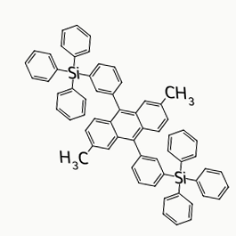 Cc1ccc2c(-c3cccc([Si](c4ccccc4)(c4ccccc4)c4ccccc4)c3)c3cc(C)ccc3c(-c3cccc([Si](c4ccccc4)(c4ccccc4)c4ccccc4)c3)c2c1